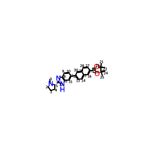 CN1CCC[C@H]1c1nc2ccc(-c3ccc4cc(B5OC(C)(C)C(C)(C)O5)ccc4c3)cc2[nH]1